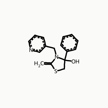 C=C1SCC(O)(c2ccccc2)N1Cc1cccnc1